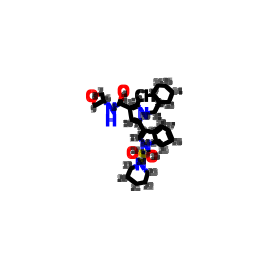 Cc1c(C(=O)NC2COC2)cc(-c2cn(S(=O)(=O)N3CCCCC3)c3ccccc23)n1CC1CCCCC1